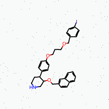 Ic1ccc(COCCCOc2ccc(C3CCNCC3OCc3ccc4ccccc4c3)cc2)cc1